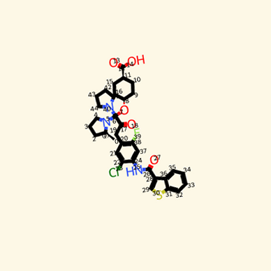 C[C@H]1CCCN1C(O[C@H]1CC[C@H](C(=O)O)CC1)(C(=O)Cc1cc(Cl)c(NC(=O)c2csc3ccccc23)cc1F)N1CCCC1